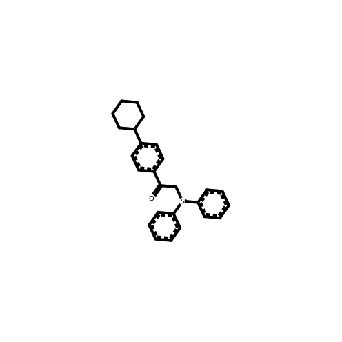 O=C(C[S+](c1ccccc1)c1ccccc1)c1ccc(C2CCCCC2)cc1